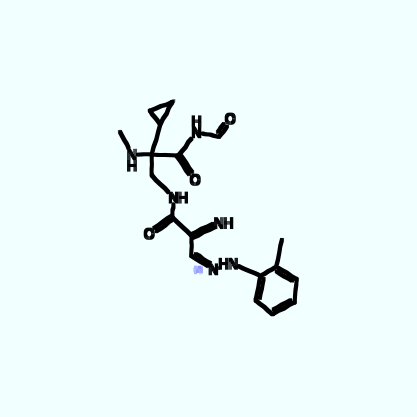 CNC(CNC(=O)C(=N)/C=N\Nc1ccccc1C)(C(=O)NC=O)C1CC1